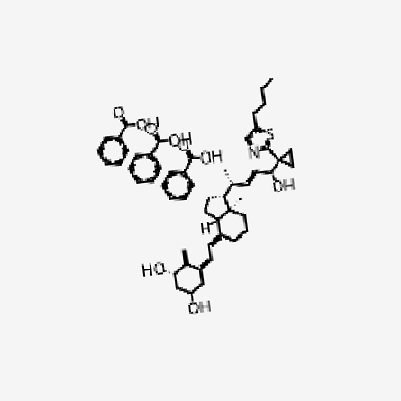 C=C1/C(=C\C=C2/CCC[C@]3(C)[C@@H]([C@H](C)/C=C/[C@H](O)C4(c5ncc(CCCC)s5)CC4)CC[C@@H]23)C[C@@H](O)C[C@@H]1O.O=C(O)c1ccccc1.O=C(O)c1ccccc1.O=C(O)c1ccccc1